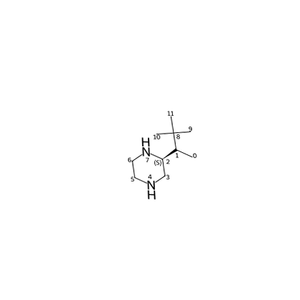 CC([C@H]1CNCCN1)C(C)(C)C